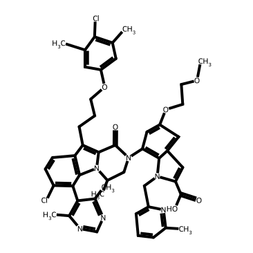 COCCOc1cc(N2CC(C)n3c(c(CCCOc4cc(C)c(Cl)c(C)c4)c4ccc(Cl)c(-c5c(C)ncnc5C)c43)C2=O)c2c(c1)cc(C(=O)O)n2Cc1cccc(C)n1